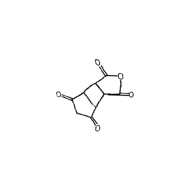 O=C1CC(=O)C2C1C1C(=O)OC(=O)C21